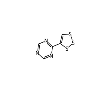 C1=C(c2ncncn2)SSS1